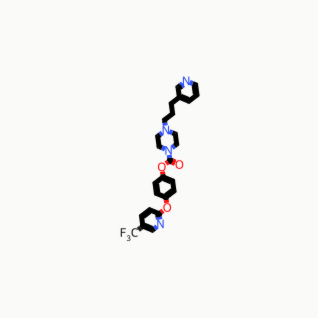 O=C(Oc1ccc(Oc2ccc(C(F)(F)F)cn2)cc1)N1CCN(CCCc2cccnc2)CC1